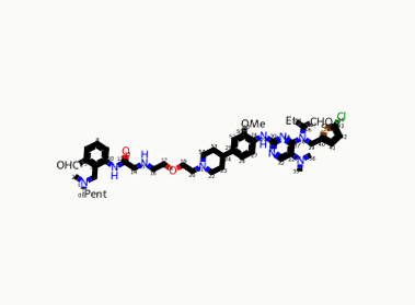 CCCC(C)N(C)Cc1c(C=O)cccc1NC(=O)CNCCOCCN1CCC(c2ccc(Nc3ncc(N(C)C)c(N(Cc4ccc(Cl)s4)C(C=O)CC)n3)c(OC)c2)CC1